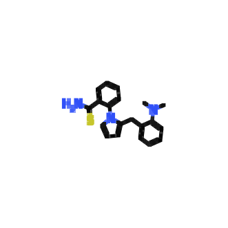 CN(C)c1ccccc1Cc1cccn1-c1ccccc1C(N)=S